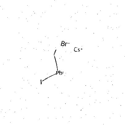 [Br-].[Cs+].[I][Pb][I]